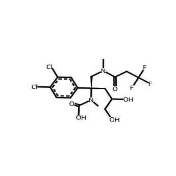 CN(C[C@](CC(O)CO)(c1ccc(Cl)c(Cl)c1)N(C)C(=O)O)C(=O)CC(F)(F)F